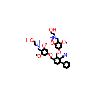 COc1cc(OCc2ccc(-c3ccccc3)c(C#N)c2COc2cc(OC)c(CNCCO)c(OC)c2)cc(OC)c1CNCCO